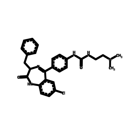 CN(C)CCNC(=O)Nc1ccc(C2=NC(Cc3ccccc3)C(=O)Nc3ccc(Cl)cc32)cc1